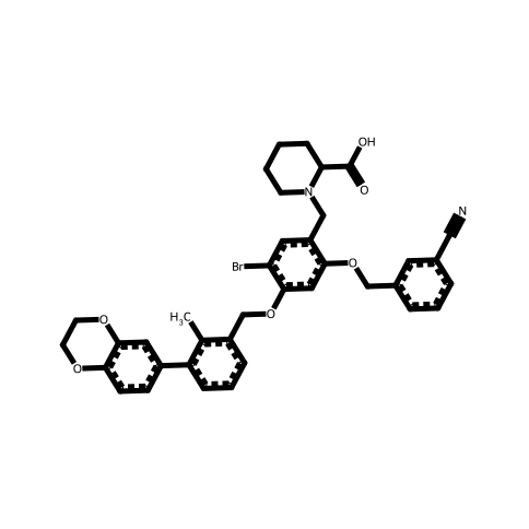 Cc1c(COc2cc(OCc3cccc(C#N)c3)c(CN3CCCCC3C(=O)O)cc2Br)cccc1-c1ccc2c(c1)OCCO2